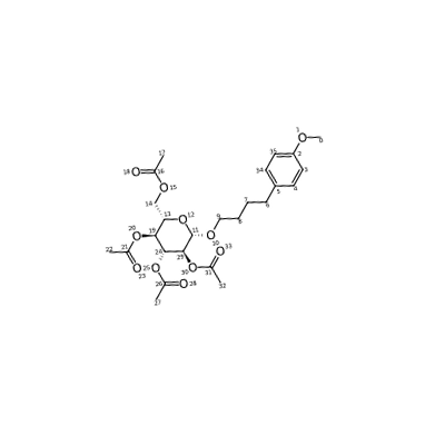 COc1ccc(CCCCO[C@H]2O[C@@H](COC(C)=O)[C@H](OC(C)=O)[C@@H](OC(C)=O)[C@@H]2OC(C)=O)cc1